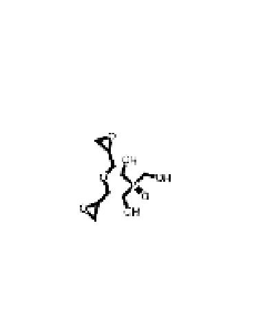 C(OCC1CO1)C1CO1.O=P(CO)(CO)CO